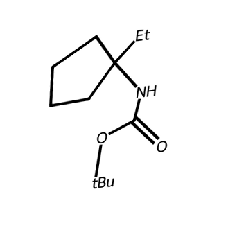 CCC1(NC(=O)OC(C)(C)C)CCCC1